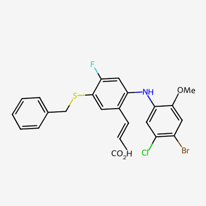 COc1cc(Br)c(Cl)cc1Nc1cc(F)c(SCc2ccccc2)cc1C=CC(=O)O